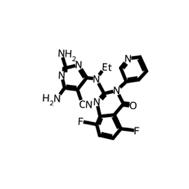 CCN(c1nc(N)nc(N)c1C#N)c1nc2c(F)ccc(F)c2c(=O)n1-c1cccnc1